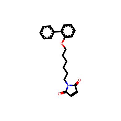 O=C1C=CC(=O)N1CCCCCCOc1ccccc1-c1ccccc1